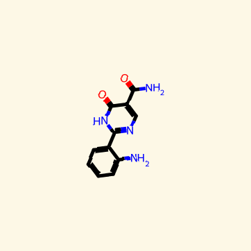 NC(=O)c1cnc(-c2ccccc2N)[nH]c1=O